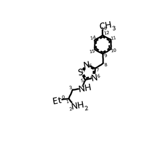 CCC(N)CNc1nc(Cc2ccc(C)cc2)ns1